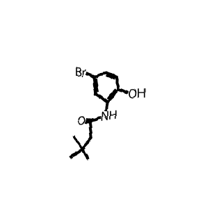 CC(C)(C)CC(=O)Nc1cc(Br)ccc1O